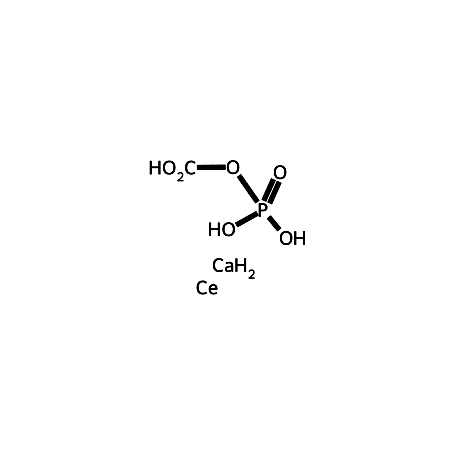 O=C(O)OP(=O)(O)O.[CaH2].[Ce]